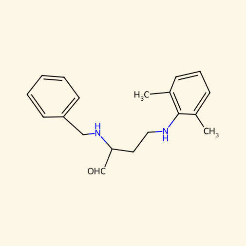 Cc1cccc(C)c1NCCC(C=O)NCc1ccccc1